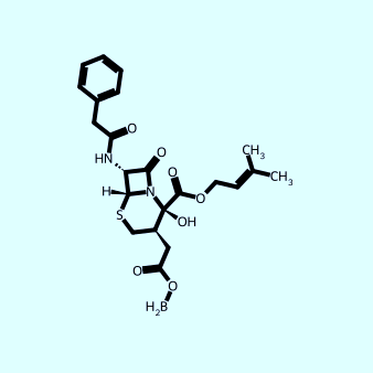 BOC(=O)C[C@H]1CS[C@@H]2[C@H](NC(=O)Cc3ccccc3)C(=O)N2[C@]1(O)C(=O)OCC=C(C)C